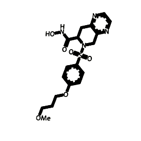 COCCCOc1ccc(S(=O)(=O)N2Cc3nccnc3CC2C(=O)NO)cc1